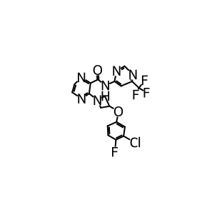 O=C(Nc1cc(C(F)(F)F)ncn1)c1nccnc1N1CC(Oc2ccc(F)c(Cl)c2)C1